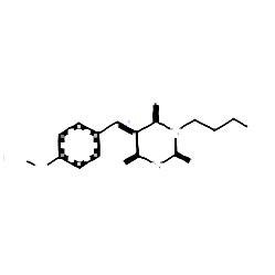 CCCCN1C(=O)NC(=O)/C(=C\c2ccc(OC)cc2)C1=O